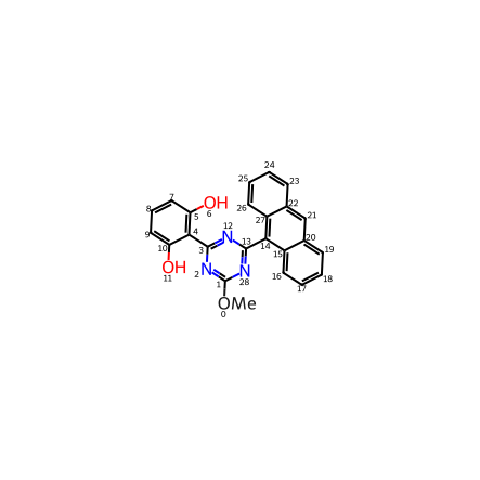 COc1nc(-c2c(O)cccc2O)nc(-c2c3ccccc3cc3ccccc23)n1